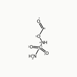 NS(=O)(=O)NOC=O